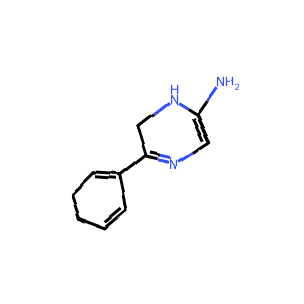 NC1=CN=C(C2=CCCC=C2)CN1